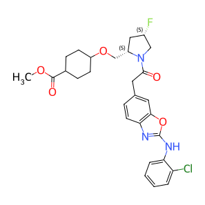 COC(=O)C1CCC(OC[C@@H]2C[C@H](F)CN2C(=O)Cc2ccc3nc(Nc4ccccc4Cl)oc3c2)CC1